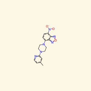 Cc1ccnc(N2CCN(c3ccc([N+](=O)[O-])c4nonc34)CC2)c1